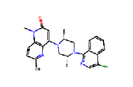 C[C@@H]1CN(c2cc(=O)n(C)c3ccc(C#N)nc23)[C@@H](C)CN1c1ncc(Br)c2ccccc12